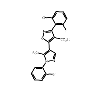 CCOC(=O)c1c(-c2c(F)cccc2Cl)noc1-c1cnn(-c2ccccc2Br)c1C(F)(F)F